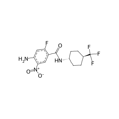 Nc1cc(F)c(C(=O)N[C@H]2CC[C@H](C(F)(F)F)CC2)cc1[N+](=O)[O-]